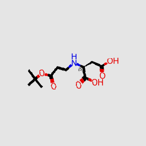 CC(C)(C)OC(=O)CCN[C@@H](CC(=O)O)C(=O)O